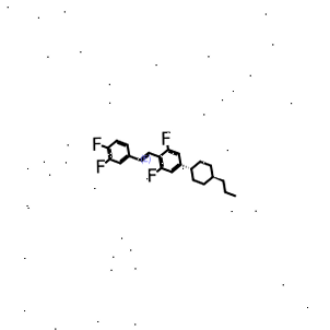 CCC[C@H]1CC[C@H](c2cc(F)c(/C=C/c3ccc(F)c(F)c3)c(F)c2)CC1